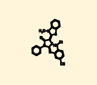 CCNc1ccc(C#N)cc1/N=C1\S/C(=C2\Sc3ccccc3N2C)C(=O)N1c1ccccc1